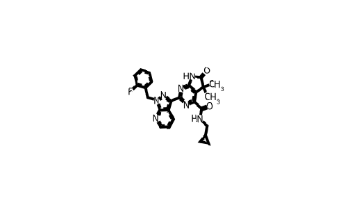 CC1(C)C(=O)Nc2nc(-c3nn(Cc4ccccc4F)c4ncccc34)nc(C(=O)NCC3CC3)c21